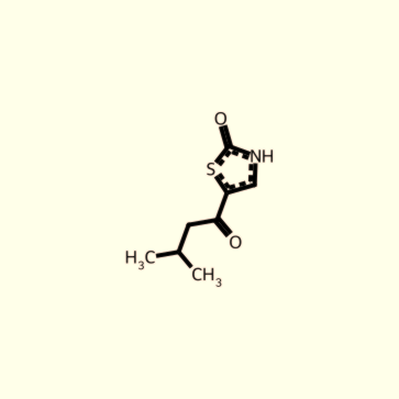 CC(C)CC(=O)c1c[nH]c(=O)s1